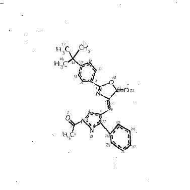 CC(=O)n1cc(/C=C2\N=C(c3ccc(C(C)(C)C)cc3)OC2=O)c(-c2ccccc2)n1